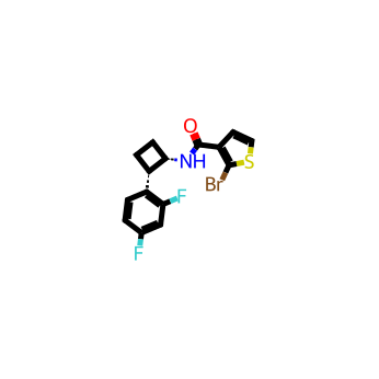 O=C(N[C@H]1CC[C@H]1c1ccc(F)cc1F)c1ccsc1Br